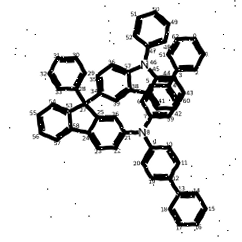 c1ccc(-c2ccc(N(c3ccc(-c4ccccc4)cc3)c3ccc4c(c3)C(c3ccccc3)(c3ccc5c(c3)c3ccccc3n5-c3ccccc3)c3ccccc3-4)cc2)cc1